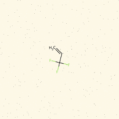 C=[C]C(F)(F)F